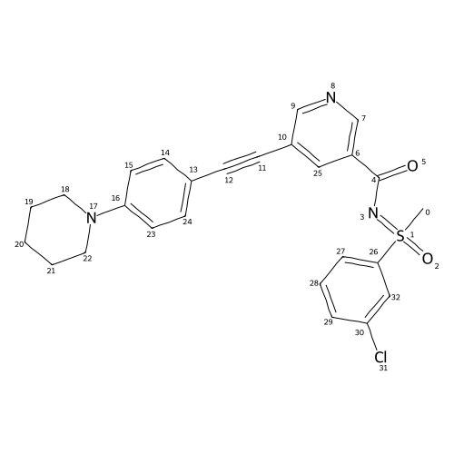 CS(=O)(=NC(=O)c1cncc(C#Cc2ccc(N3CCCCC3)cc2)c1)c1cccc(Cl)c1